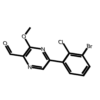 COc1nc(-c2cccc(Br)c2Cl)cnc1C=O